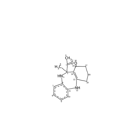 CC(=O)C1(C)Nc2ccccc2NC2=C1C(=O)CCC2